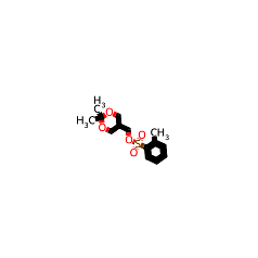 Cc1ccccc1S(=O)(=O)OCC1COC(C)(C)OC1